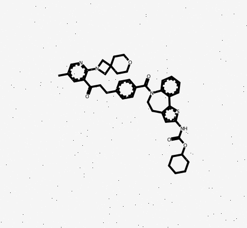 Cc1cnc(N2CC3(CCOCC3)C2)c(C(=O)CCc2ccc(C(=O)N3CCc4cc(NC(=O)OC5CCCCC5)sc4-c4ccccc43)cc2)c1